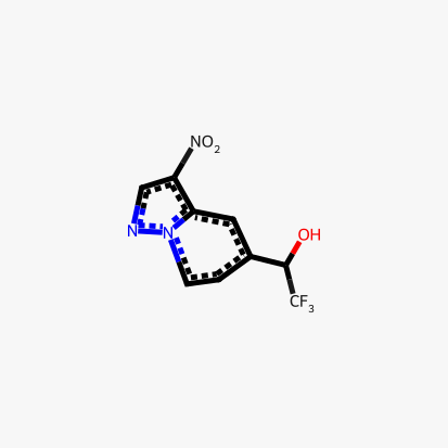 O=[N+]([O-])c1cnn2ccc(C(O)C(F)(F)F)cc12